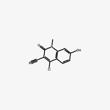 Cn1c(=O)c(C#N)c(Cl)c2ccc(O)cc21